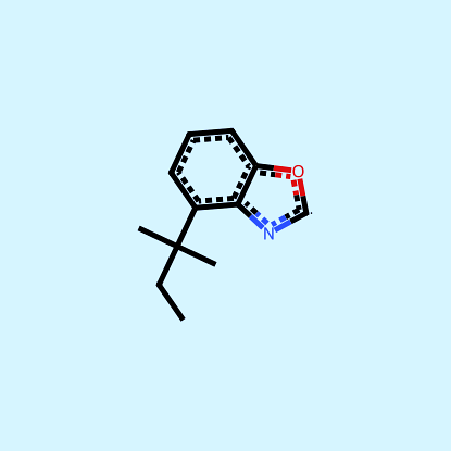 CCC(C)(C)c1cccc2o[c]nc12